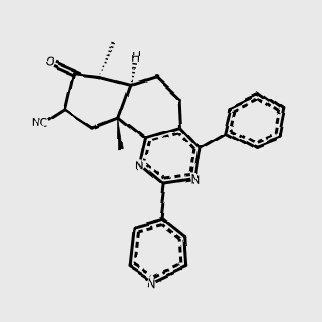 C[C@H]1C(=O)C(C#N)C[C@@]2(C)c3nc(-c4ccncc4)nc(-c4ccccc4)c3CC[C@H]12